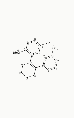 CCOC(=O)c1cccc(C2=C(c3cc(Br)ccc3OC)CCCC2)n1